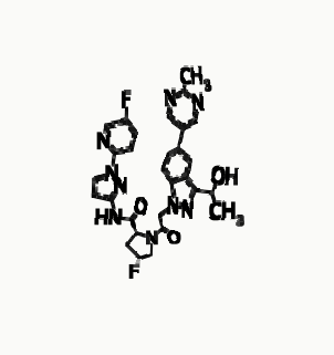 Cc1ncc(-c2ccc3c(c2)c(C(C)O)nn3CC(=O)N2C[C@H](F)C[C@H]2C(=O)Nc2ccn(-c3ccc(F)cn3)n2)cn1